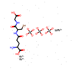 NC(CCC(=O)NC(CS)C(=O)NCC(=O)O)C(=O)O.[O-][Si]([O-])([O-])[O-].[O-][Si]([O-])([O-])[O-].[O-][Si]([O-])([O-])[O-].[Yb+3].[Yb+3].[Yb+3].[Yb+3]